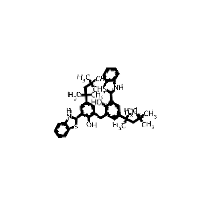 CC(C)(C)CC(C)(C)c1cc(Cc2cc(C(C)(C)CC(C)(C)C)cc(C3Nc4ccccc4S3)c2O)c(O)c(C2Nc3ccccc3S2)c1